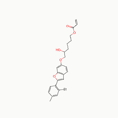 C=CC(=O)OCCCCC(O)COc1ccc2cc(-c3ccc(C)cc3CC)oc2c1